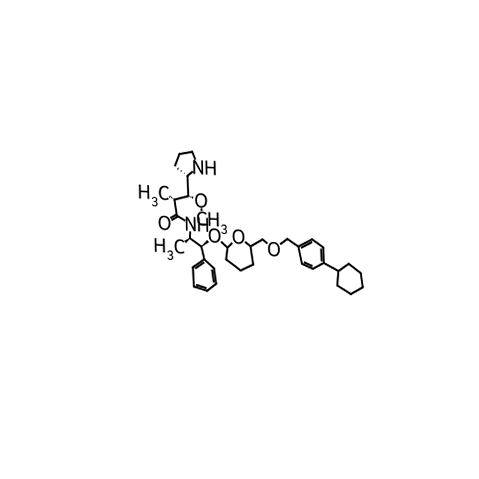 CO[C@@H]([C@@H]1CCCN1)[C@@H](C)C(=O)N[C@H](C)[C@@H](OC1CCCC(COCc2ccc(C3CCCCC3)cc2)O1)c1ccccc1